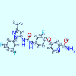 CC(C)c1cc(NC(=O)Nc2ccc(Oc3ccnc(C(N)=O)c3)c(F)c2)n(-c2cc(F)cc(F)c2)n1